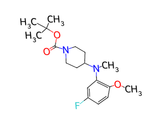 COc1ccc(F)cc1N(C)C1CCN(C(=O)OC(C)(C)C)CC1